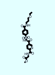 CCOCCCNC(=O)c1ccc(S(=O)(=O)NC(=O)c2ccc(C(=O)NCC(=O)OC)nc2)cc1